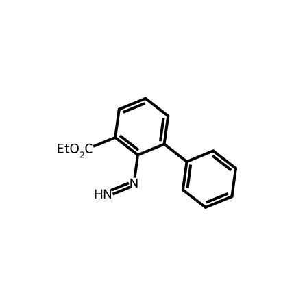 CCOC(=O)c1cccc(-c2ccccc2)c1N=N